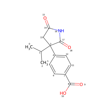 CC(C)C1(c2ccc(C(=O)O)cc2)CC(=O)NC1=O